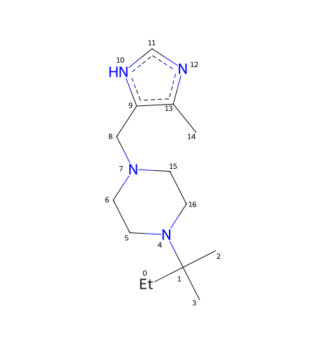 CCC(C)(C)N1CCN(Cc2[nH]cnc2C)CC1